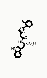 O=C(Cc1csc(-c2ccccc2F)n1)N[C@@H](Cc1c[nH]c2ccccc12)C(=O)O